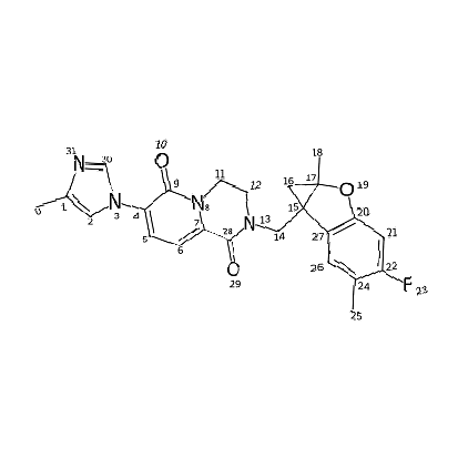 Cc1cn(-c2ccc3n(c2=O)CCN(CC24CC2(C)Oc2cc(F)c(C)cc24)C3=O)cn1